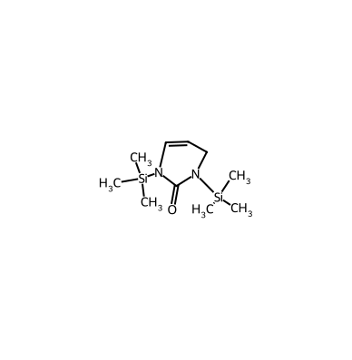 C[Si](C)(C)N1C=CCN([Si](C)(C)C)C1=O